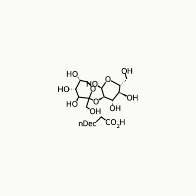 CCCCCCCCCCCC(=O)O.OC[C@H]1O[C@H](O)[C@H](OC2(CO)OC[C@@H](O)[C@@H](O)[C@@H]2O)[C@@H](O)[C@@H]1O